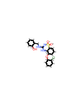 O=S1(=O)N=C(NCc2ccccc2O)Nc2c(Oc3ccccc3Cl)cccc21